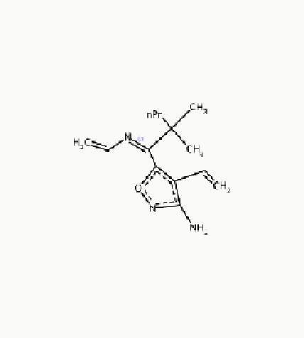 C=C/N=C(\c1onc(N)c1C=C)C(C)(C)CCC